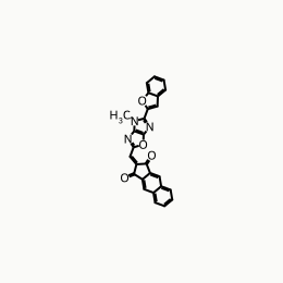 Cn1c(-c2cc3ccccc3o2)nc2oc(C=C3C(=O)c4cc5ccccc5cc4C3=O)nc21